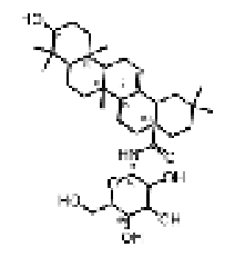 CC1(C)CC[C@]2(C(=O)N[C@H]3OC(CO)[C@H](O)C(O)C3O)CC[C@]3(C)C(=CCC4[C@@]5(C)CC[C@H](O)C(C)(C)C5CC[C@]43C)C2C1